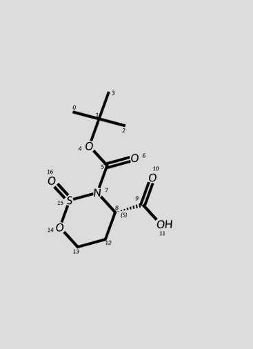 CC(C)(C)OC(=O)N1[C@H](C(=O)O)CCOS1=O